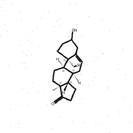 C[C@]12CC[C@@H]3[C@@H](CC=C4CC(O)CC[C@@]43CS)[C@@H]1CCC2=O